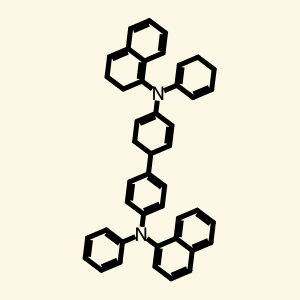 C1=CC(N(C2=CCC(c3ccc(N(c4ccccc4)c4cccc5ccccc45)cc3)C=C2)C2=c3ccccc3=CCC2)=CCC1